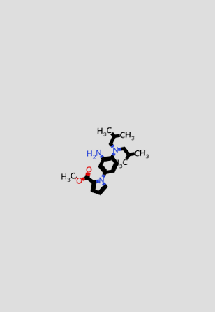 COC(=O)c1cccn1-c1ccc(N(CC(C)C)CC(C)C)c(N)c1